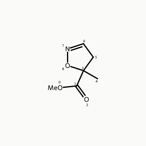 COC(=O)C1(C)CC=NO1